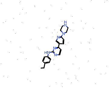 CCc1ccc(Nc2nccc(-c3ccc(N4CCNCC4)nc3)n2)cc1